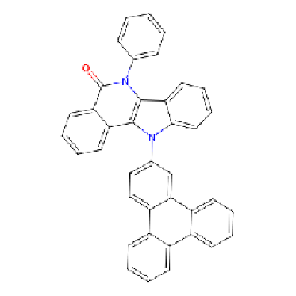 O=c1c2ccccc2c2c(c3ccccc3n2-c2ccc3c4ccccc4c4ccccc4c3c2)n1-c1ccccc1